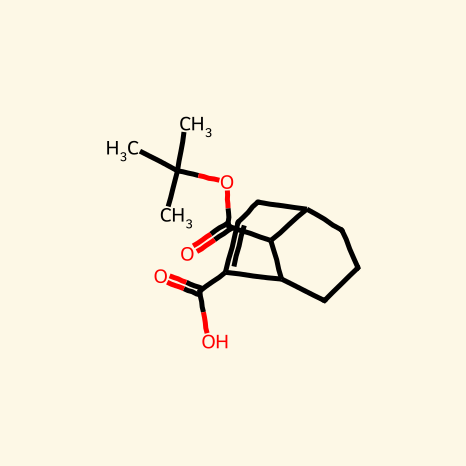 CC(C)(C)OC(=O)C1C2CC=C(C(=O)O)C1CCC2